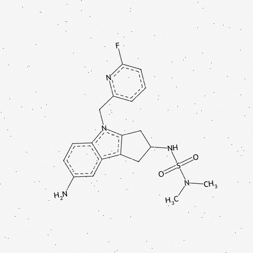 CN(C)S(=O)(=O)NC1Cc2c(n(Cc3cccc(F)n3)c3ccc(N)cc23)C1